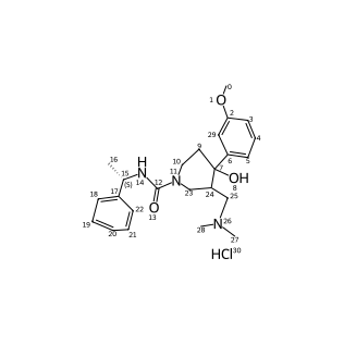 COc1cccc(C2(O)CCN(C(=O)N[C@@H](C)c3ccccc3)CC2CN(C)C)c1.Cl